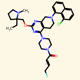 CCC1(COc2nc3c(c(N4CCN(C(=O)/C=C/CF)CC4)n2)CCN(c2cccc4cccc(Cl)c24)C3)CCCN1C